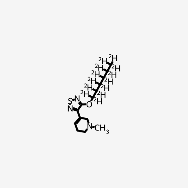 [2H]C([2H])([2H])C([2H])([2H])C([2H])([2H])C([2H])([2H])C([2H])([2H])C([2H])([2H])Oc1nsnc1C1=CCCN(C)C1